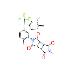 Cc1ccc(C(C)(c2ccc(C)c(N3C(=O)C4C5C(=O)N(C)C(=O)C5C4C3=O)c2)C(F)(F)F)cc1C